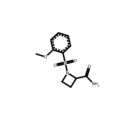 COc1ccccc1S(=O)(=O)N1CCC1C(N)=O